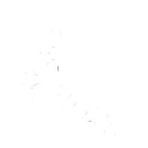 O=C(Nc1ncc(Oc2ccc(C(=O)N3CCC3)cc2)s1)C(Oc1ccc(F)cc1F)c1ccc(S(=O)(=O)C2CCNCC2)cc1